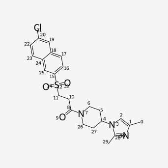 Cc1cn(C2CCN(C(=O)CCS(=O)(=O)c3ccc4cc(Cl)ccc4c3)CC2)c(C)n1